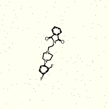 O=C1c2ccccc2C(=O)N1CCN1CCN(c2ccc(F)cc2F)CC1